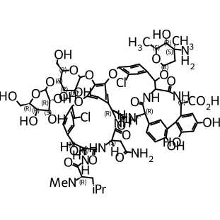 CN[C@H](CC(C)C)C(=O)N[C@H]1C(=O)N[C@@H](CC(N)=O)C(=O)N[C@H]2C(=O)N[C@H]3C(=O)NC(C(=O)N[C@@H](C(=O)O)c4cc(O)cc(O)c4-c4cc3ccc4O)C(O[C@H]3C[C@](C)(N)[C@@H](O)[C@H](C)O3)c3ccc(c(Cl)c3)Oc3cc2cc(c3OC2O[C@H](CO)[C@@H](OC3O[C@H](CO)[C@H](O)[C@H](O)[C@H]3O)[C@H](O)[C@H]2O)Oc2ccc(cc2Cl)[C@H]1O